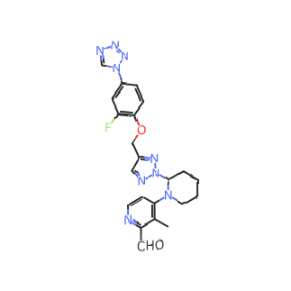 Cc1c(N2CCCCC2n2ncc(COc3ccc(-n4cnnn4)cc3F)n2)ccnc1C=O